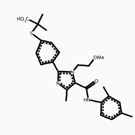 COCCn1c(-c2ccc(SC(C)(C)C(=O)O)cc2)nc(C)c1C(=O)Nc1ccc(C)cc1C